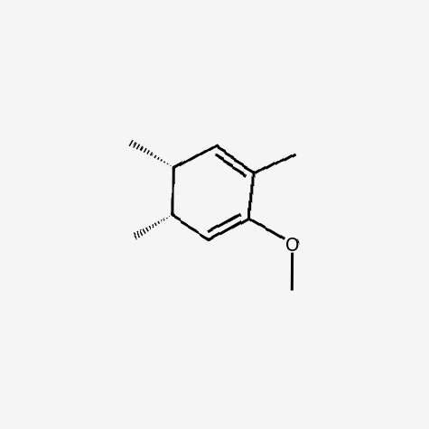 COC1=C[C@H](C)[C@H](C)C=C1C